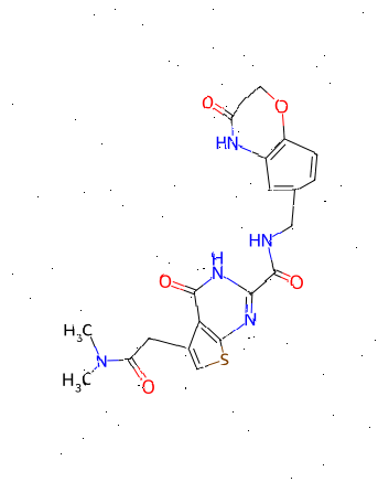 CN(C)C(=O)Cc1csc2nc(C(=O)NCc3ccc4c(c3)NC(=O)CO4)[nH]c(=O)c12